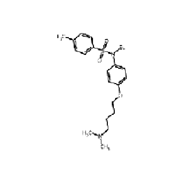 CCN(c1ccc(OCCCCN(C)C)cc1)S(=O)(=O)c1ccc(C(F)(F)F)cc1